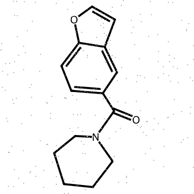 O=C(c1ccc2occc2c1)N1CCCCC1